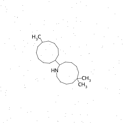 CC1CCCCCC(C2CCCCC(C)(C)CCCCN2)CCCC1